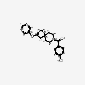 O=C(c1ccc(Cl)cc1)N1CCC2(CC1)CC(Oc1cncnc1)=NO2